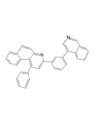 c1ccc(-c2cc(-c3cccc(-c4cncc5ccccc45)c3)nc3ccc4ccccc4c23)cc1